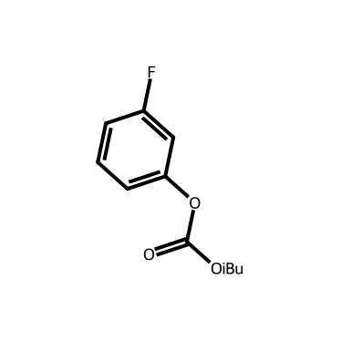 CC(C)COC(=O)Oc1cccc(F)c1